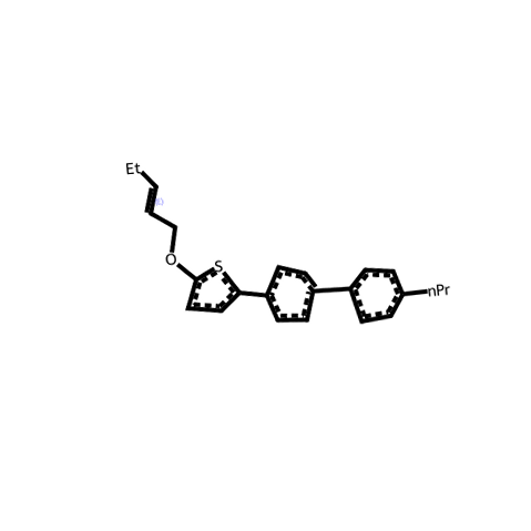 CC/C=C/COc1ccc(-c2ccc(-c3ccc(CCC)cc3)cc2)s1